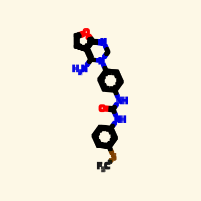 NC1=c2ccoc2=NCN1c1ccc(NC(=O)Nc2cccc(SC(F)(F)F)c2)cc1